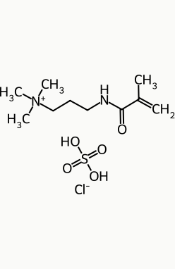 C=C(C)C(=O)NCCC[N+](C)(C)C.O=S(=O)(O)O.[Cl-]